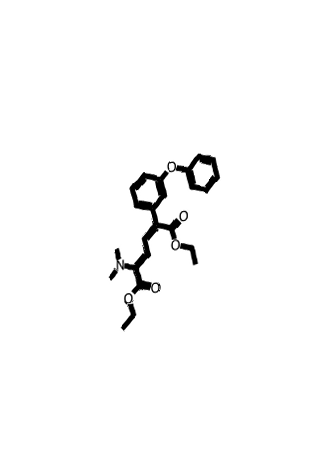 CCOC(=O)C(=CC=C(C(=O)OCC)N(C)C)c1cccc(Oc2ccccc2)c1